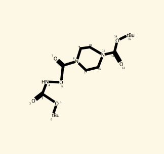 CC(C)(C)OC(=O)NOC(=O)N1CCN(C(=O)OC(C)(C)C)CC1